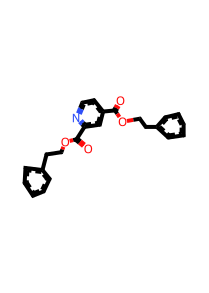 O=C(OCCc1ccccc1)c1ccnc(C(=O)OCCc2ccccc2)c1